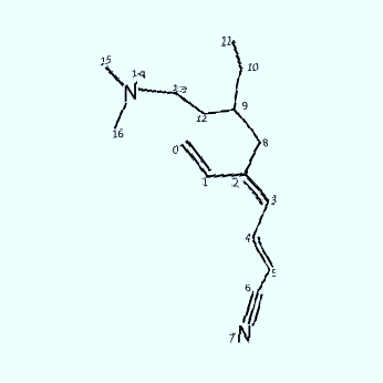 C=C/C(=C\C=C\C#N)CC(CC)CCN(C)C